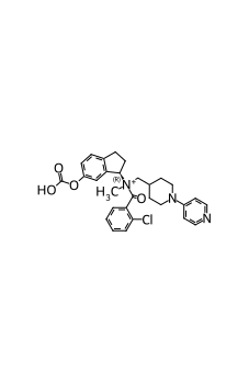 C[N+](CC1CCN(c2ccncc2)CC1)(C(=O)c1ccccc1Cl)[C@@H]1CCc2ccc(OC(=O)O)cc21